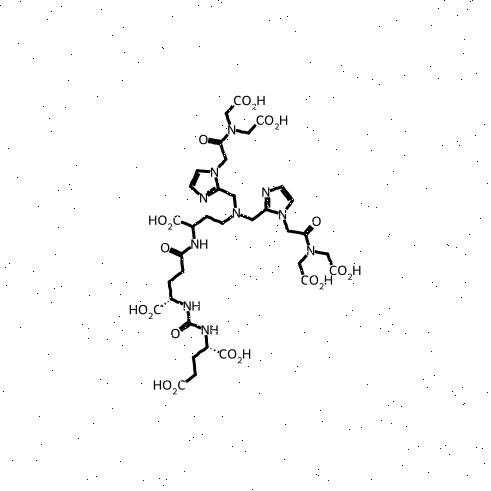 O=C(O)CC[C@H](NC(=O)N[C@@H](CCC(=O)NC(CCN(Cc1nccn1CC(=O)N(CC(=O)O)CC(=O)O)Cc1nccn1CC(=O)N(CC(=O)O)CC(=O)O)C(=O)O)C(=O)O)C(=O)O